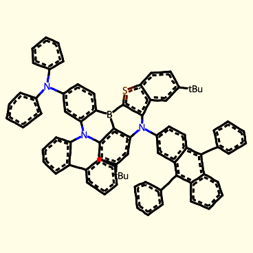 CC(C)(C)c1cc2c3c(c1)N(c1ccc4c(-c5ccccc5)c5ccccc5c(-c5ccccc5)c4c1)c1c(sc4ccc(C(C)(C)C)cc14)B3c1ccc(N(c3ccccc3)c3ccccc3)cc1N2c1ccccc1-c1ccccc1